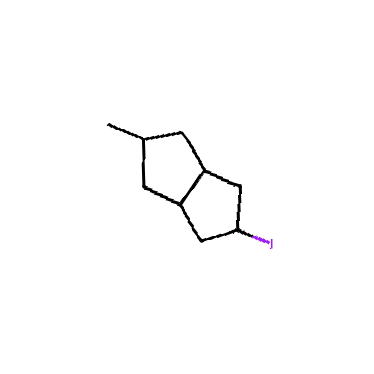 CC1CC2CC(I)CC2C1